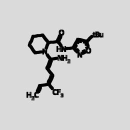 C=C/C(=C\C=C(/N)N1CCCCC1C(=O)Nc1cc(C(C)(C)C)on1)C(F)(F)F